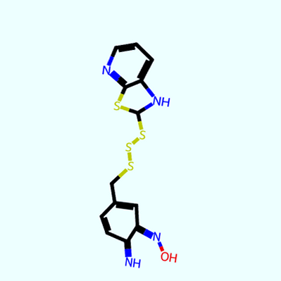 N=C1C=CC(CSSSC2Nc3cccnc3S2)=C/C1=N/O